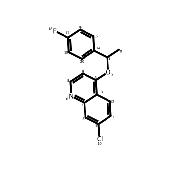 CC(Oc1ccnc2cc(Cl)ccc12)c1ccc(F)cc1